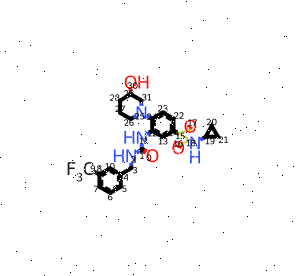 O=C(NCc1cccc(C(F)(F)F)c1)Nc1cc(S(=O)(=O)NC2CC2)ccc1N1CCCC(O)C1